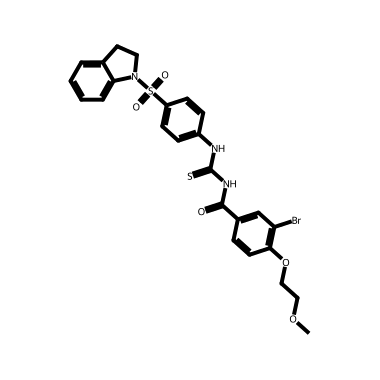 COCCOc1ccc(C(=O)NC(=S)Nc2ccc(S(=O)(=O)N3CCc4ccccc43)cc2)cc1Br